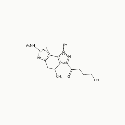 CC(=O)Nc1nc2c(s1)-c1c(c(C(=O)CCCO)nn1C(C)C)C(C)C2